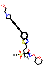 CC(CCc1nc2ccc(C#CC#CC3CN(CCO)C3)cc2s1)(C(=O)NOC1CCCCO1)S(C)(=O)=O